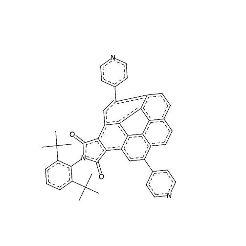 CC(C)(C)c1cccc(C(C)(C)C)c1-n1c(=O)c2c3cc(-c4ccncc4)c4ccc5ccc6c(-c7ccncc7)cc(c2c1=O)c1c6c5c4c31